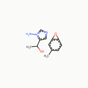 CC(O)c1cncn1N.Cc1ccc2c(c1)O2